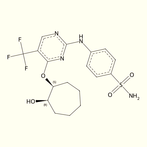 NS(=O)(=O)c1ccc(Nc2ncc(C(F)(F)F)c(O[C@H]3CCCCC[C@H]3O)n2)cc1